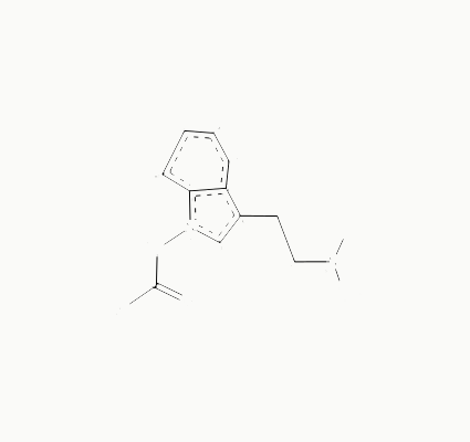 CC(=O)On1cc(CCN(C)C)c2ccccc21